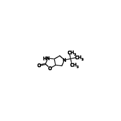 CC(C)(C)N1CC2NC(=O)OC2C1